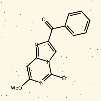 CCc1nc(OC)cc2nc(C(=O)c3ccccc3)cn12